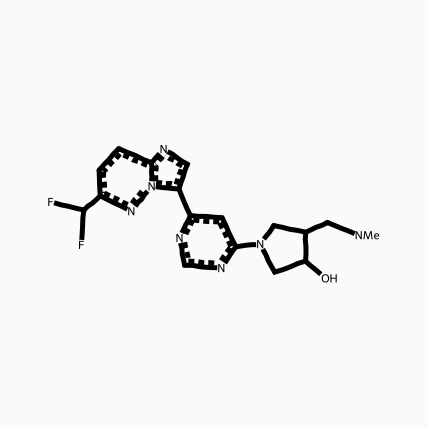 CNCC1CN(c2cc(-c3cnc4ccc(C(F)F)nn34)ncn2)CC1O